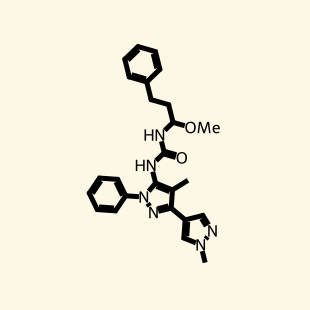 COC(CCc1ccccc1)NC(=O)Nc1c(C)c(-c2cnn(C)c2)nn1-c1ccccc1